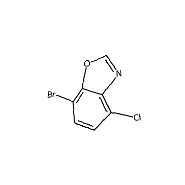 Clc1ccc(Br)c2ocnc12